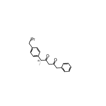 CC(C)Cc1ccc([C@@H](C)C(=O)CC(=O)Cc2ccccc2)cc1